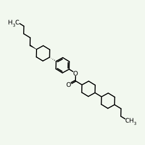 CCCCC[C@H]1CC[C@H](c2ccc(OC(=O)C3CCC(C4CCC(CCC)CC4)CC3)cc2)CC1